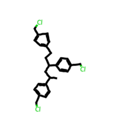 CC(CC(CCc1ccc(CCl)cc1)c1ccc(CCl)cc1)c1ccc(CCl)cc1